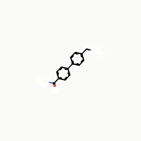 CCc1ccc(-c2ccc(C(N)=O)cc2)cc1